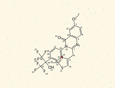 COc1ccc2nc(Cc3csc(C)n3)n(-c3ccc(C(O)(C(F)(F)F)C(F)(F)F)cc3)c(=O)c2c1